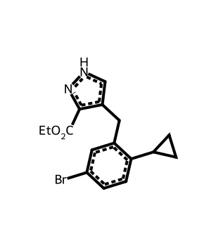 CCOC(=O)c1n[nH]cc1Cc1cc(Br)ccc1C1CC1